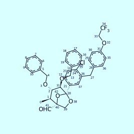 C[C@H]1[C@H](OCc2ccccc2)[C@@H](OCc2ccccc2)[C@@]2(c3ccc(Cl)c(Cc4ccc(OCC(F)(F)F)cc4)c3)OC[C@]1(C=O)O2